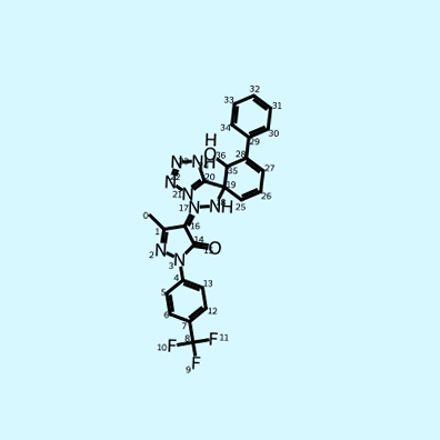 CC1=NN(c2ccc(C(F)(F)F)cc2)C(=O)/C1=N\NC1(c2nnn[nH]2)C=CC=C(c2ccccc2)C1O